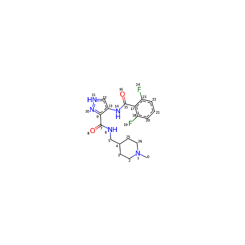 CN1CCC(CNC(=O)c2n[nH]cc2NC(=O)c2c(F)cccc2F)CC1